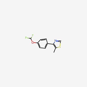 Cc1s[c]nc1-c1ccc(OC(F)F)cc1